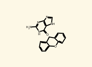 Nc1nc2nc[nH]c2c(=O)[nH]1.c1ccc2c(c1)Cc1ccccc1O2